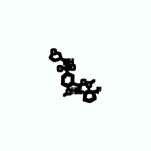 COc1ccc(S(=O)(=O)N[C@H]2CCOC2)cc1C(=O)Nc1cccc(F)c1OC